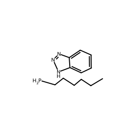 CCCCCCP.c1ccc2[nH]nnc2c1